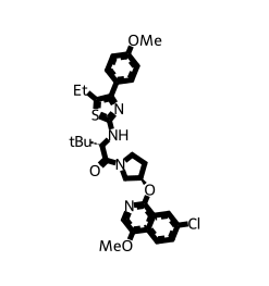 CCc1sc(N[C@H](C(=O)N2CC[C@@H](Oc3ncc(OC)c4ccc(Cl)cc34)C2)C(C)(C)C)nc1-c1ccc(OC)cc1